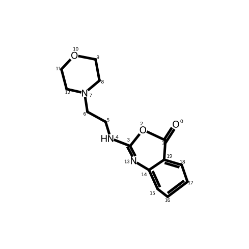 O=c1oc(NCCN2CCOCC2)nc2ccccc12